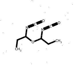 CCC(N=C=O)OC(CC)N=C=O